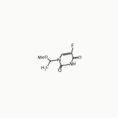 COC(C)n1cc(F)c(=O)[nH]c1=O